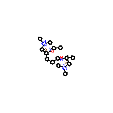 c1ccc(-c2ccc3nc(-c4cc(-c5cccc(-c6cccc(-c7ccc8oc(-c9ccc(-c%10ccccc%10)c%10c9sc9c(-c%11nc(-c%12ccccc%12)nc(-c%12ccccc%12)n%11)cccc9%10)nc8c7)c6)c5)cc5c4sc4c(-c6nc(-c7ccccc7)nc(-c7ccccc7)n6)cccc45)oc3c2)cc1